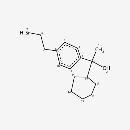 CC(O)(c1ccc(CC[SiH3])cc1)C1CCCCC1